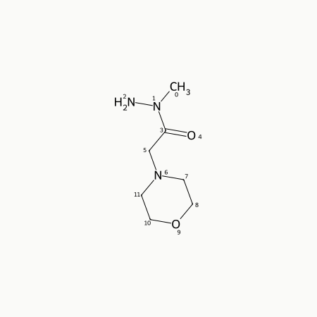 CN(N)C(=O)CN1CCOCC1